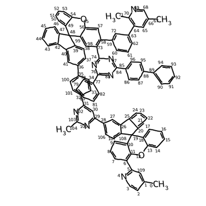 Cc1ccnc(-c2cccc3c2Oc2ccccc2C32c3ccccc3-c3cc(-c4cc(-c5ccc(-c6ccc7c(c6)-c6ccccc6C76c7ccccc7Oc7cc(-c8cccc(-c9cc(C)cnc9C)c8)c(-c8nc(-c9ccccc9)nc(-c9ccc(-c%10ccccc%10)cc9)n8)cc76)cc5)nc(C)n4)ccc32)c1